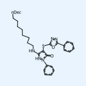 CCCCCCCCCCCCCCCCCCNc1[nH]n(-c2ccccc2)c(=O)c1Sc1nnc(-c2ccccc2)o1